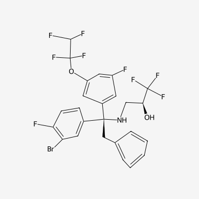 O[C@@H](CN[C@@](Cc1ccccc1)(c1cc(F)cc(OC(F)(F)C(F)F)c1)c1ccc(F)c(Br)c1)C(F)(F)F